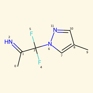 CC(=N)C(F)(F)n1cc(C)cn1